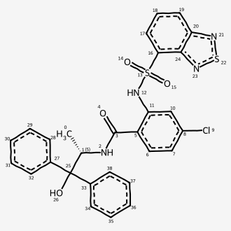 C[C@H](NC(=O)c1ccc(Cl)cc1NS(=O)(=O)c1cccc2nsnc12)C(O)(c1ccccc1)c1ccccc1